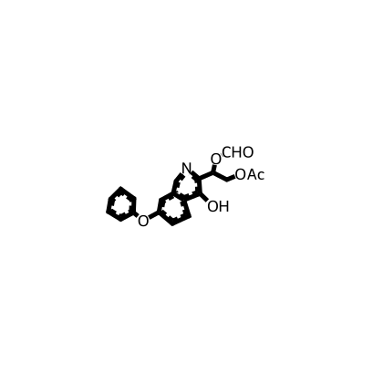 CC(=O)OCC(OC=O)c1ncc2cc(Oc3ccccc3)ccc2c1O